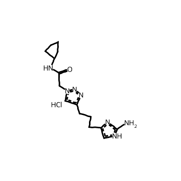 Cl.Nc1nc(CCCc2cn(CC(=O)NC3CCCC3)nn2)c[nH]1